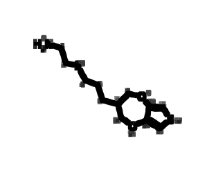 NCCSCCCC1COc2cscc2OC1